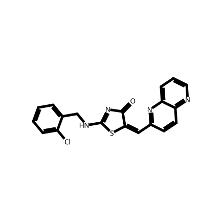 O=C1N=C(NCc2ccccc2Cl)SC1=Cc1ccc2ncccc2n1